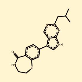 CC(C)Cc1ncc2c(-c3ccc4c(c3)OCCNC4=O)c[nH]c2n1